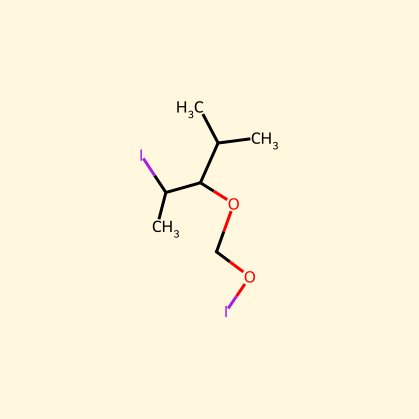 CC(C)C(OCOI)C(C)I